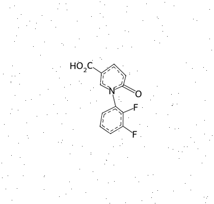 O=C(O)c1ccc(=O)n(-c2cccc(F)c2F)c1